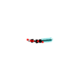 CCCC[C@H]1CC[C@H](CC[C@H]2CC[C@H](c3ccc(C(F)(F)C(F)(F)C(F)(F)C(F)(F)C(F)(F)C(F)(F)C(F)(F)C(F)(F)C(F)(F)F)cc3)CC2)CC1